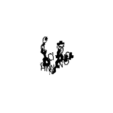 COCCN1CC(c2cc(OC)c(Nc3nccc(-c4cnc5c(c4)C(C)(CO[Si](C)(C)C(C)(C)C)CN5C(=O)OC(C)(C)C)n3)cc2Cl)C1